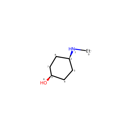 C[CH]N[C@H]1CC[C@@H](O)CC1